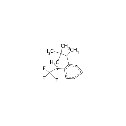 CC(c1ccccc1SC(F)(F)F)C(C)(C)C